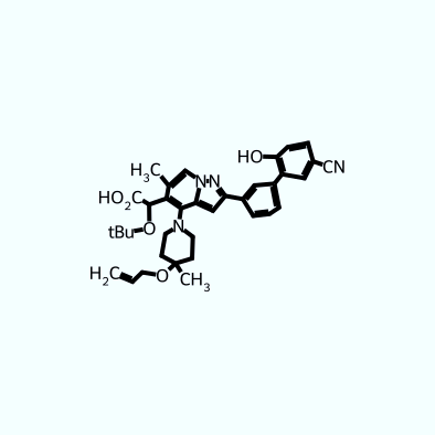 C=CCOC1(C)CCN(c2c(C(OC(C)(C)C)C(=O)O)c(C)cn3nc(-c4cccc(-c5cc(C#N)ccc5O)c4)cc23)CC1